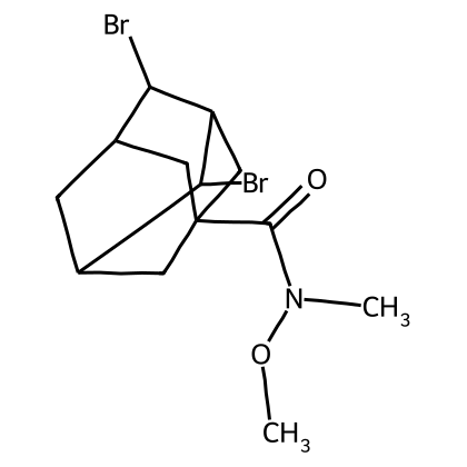 CON(C)C(=O)C12CC3CC(C1)C(Br)C(C2)C3Br